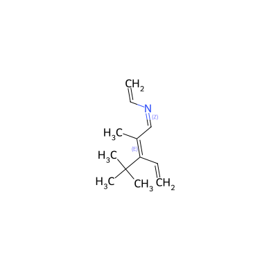 C=C/N=C\C(C)=C(/C=C)C(C)(C)C